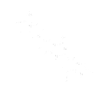 Cc1cn2cc(-c3nc(=O)n4cc(N5CCN(C(=O)O)[C@@H](C)C5)ccc4n3)cc(F)c2n1